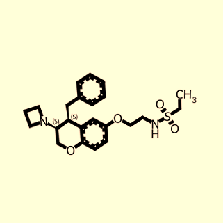 CCS(=O)(=O)NCCOc1ccc2c(c1)[C@H](Cc1ccccc1)[C@H](N1CCC1)CO2